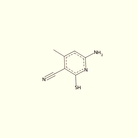 Cc1cc(N)nc(S)c1C#N